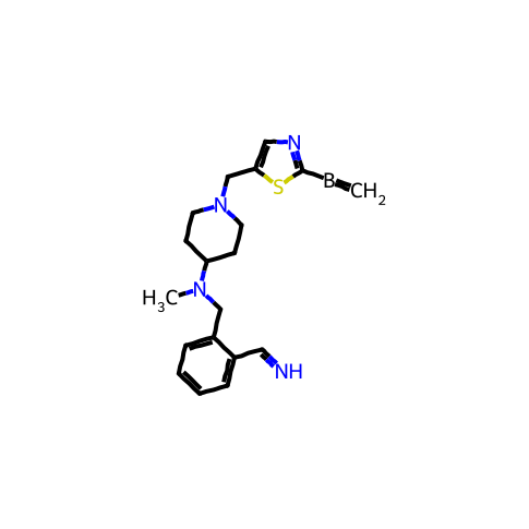 C=Bc1ncc(CN2CCC(N(C)Cc3ccccc3C=N)CC2)s1